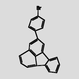 Brc1ccc(-c2cc3c4c(cccc4c2)-c2ccccc2-3)cc1